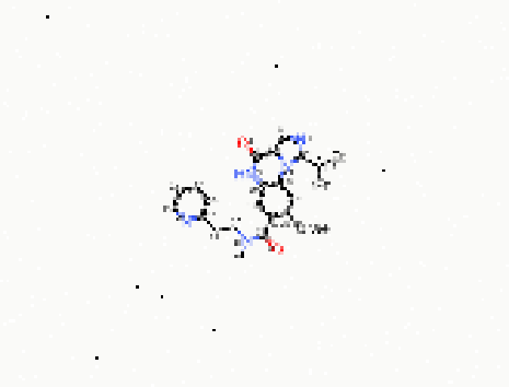 CCC(CC)c1ncc2c(=O)[nH]c3cc(C(=O)N(C)CCc4ccccn4)c(OC)cc3n12